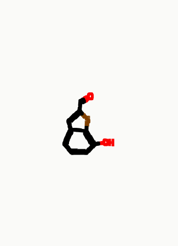 O=Cc1cc2cccc(O)c2s1